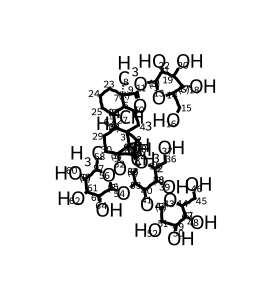 C=C1CC23CCC4[C@](C)(C(=O)O[C@@H]5OC(CO)[C@@H](O)C(O)C5O)CCC[C@@]4(C)[C@@H]2CC[C@]1(O[C@@H]1OC(CO)[C@@H](O)C(O[C@@H]2OC(CO)[C@@H](O)C(O)C2O)C1O[C@@H]1OC(C)[C@H](O)C(O)C1O)[C@@H]3C